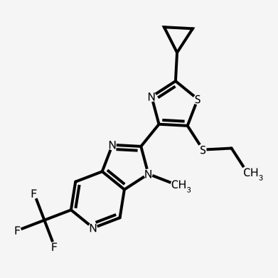 CCSc1sc(C2CC2)nc1-c1nc2cc(C(F)(F)F)ncc2n1C